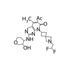 CC(=O)c1c(C)c2cnc(NC3CCOCC3O)nc2n(C2CC3(C2)CN(CC(F)F)C3)c1=O